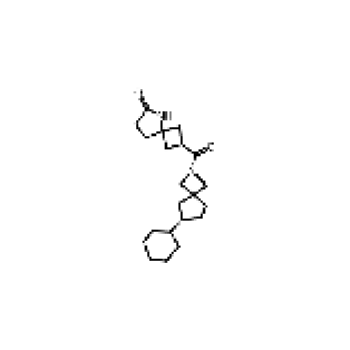 O=C1CCC2(CC(C(=O)N3CC4(CC[C@@H](C5CCCCC5)C4)C3)C2)N1